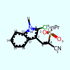 CCCS(=O)(=O)C(C#N)=Cc1c(Cl)n(C)c2ccccc12